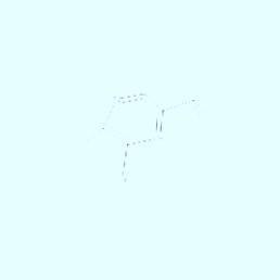 COc1ncc(C=O)nc1Br